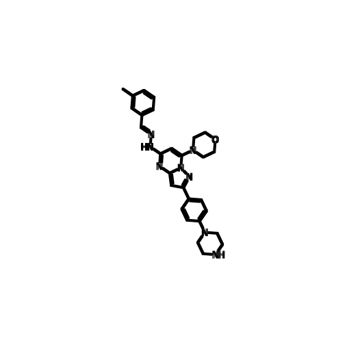 Cc1cccc(C=NNc2cc(N3CCOCC3)n3nc(-c4ccc(N5CCNCC5)cc4)cc3n2)c1